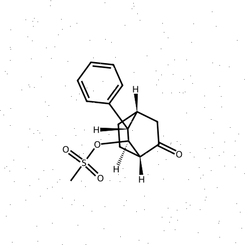 CS(=O)(=O)O[C@H]1[C@H](c2ccccc2)[C@@H]2CC[C@H]1C(=O)C2